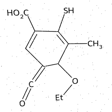 CCOC1C(=C=O)C=C(C(=O)O)C(S)=C1C